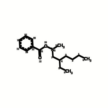 CCCCC(CC)CN(C)OC(=O)c1ccccc1